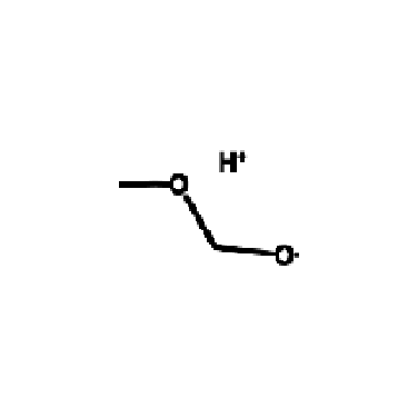 COC[O].[H+]